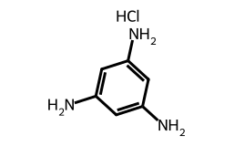 Cl.Nc1cc(N)cc(N)c1